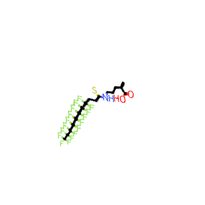 C=C(CCCNC(=S)CCC(F)(F)C(F)(F)C(F)(F)C(F)(F)C(F)(F)C(F)(F)C(F)(F)C(F)(F)F)C(=O)O